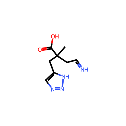 CC(CC=N)(Cc1cnn[nH]1)C(=O)O